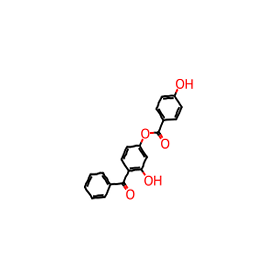 O=C(Oc1ccc(C(=O)c2ccccc2)c(O)c1)c1ccc(O)cc1